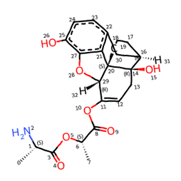 C[C@H](N)C(=O)O[C@@H](C)C(=O)OC1=CC[C@@]2(O)[C@@H]3CCC[C@@]24c2c(ccc(O)c2O[C@@H]14)C3